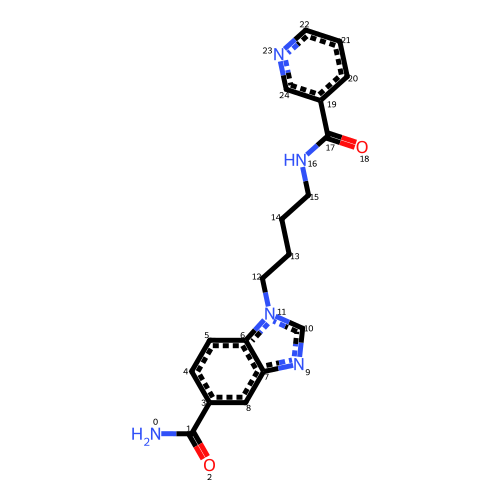 NC(=O)c1ccc2c(c1)ncn2CCCCNC(=O)c1cccnc1